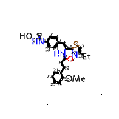 CCc1csc(C(Cc2ccc(NS(=O)(=O)O)cc2)NC(=O)CCc2ccccc2OC)n1